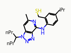 CCCC(CCC)n1nnc2c(Nc3ccc(C(C)C)cc3CS)nc(C)cc21